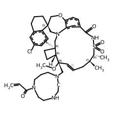 C=CC(=O)N1CCCN(C[C@]2(OC)/C=C/C[C@H](C)[C@@H](C)S(=O)(=O)NC(=O)c3ccc4c(c3)N(C[C@@H]3CC[C@H]32)C[C@@]2(CCCc3cc(Cl)ccc32)CO4)CCNCC1